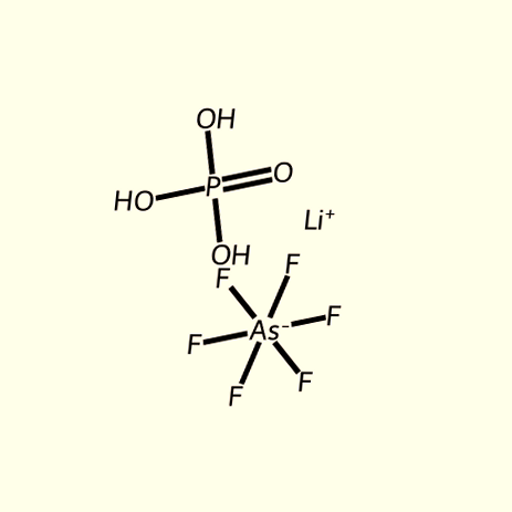 F[As-](F)(F)(F)(F)F.O=P(O)(O)O.[Li+]